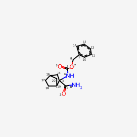 NC(=O)C1(NC(=O)OCc2ccccc2)CC2CC[C]1C2